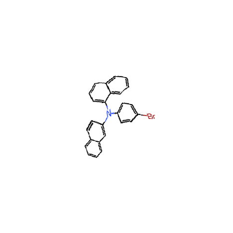 Brc1ccc(N(c2ccc3ccccc3c2)c2cccc3ccccc23)cc1